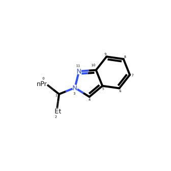 CCCC(CC)n1cc2ccccc2n1